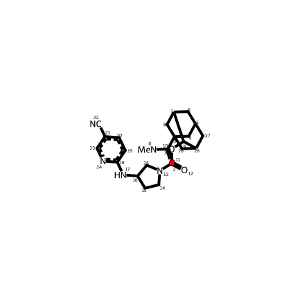 CNC(=O)C12CC3CC(C1)C(OC(=O)N1CCC(Nc4ccc(C#N)cn4)C1)C(C3)C2